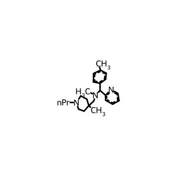 CCCN1CCC(C)(CN(C)C(c2ccc(C)cc2)c2ccccn2)CC1